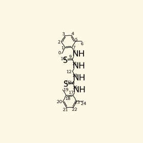 Cc1cccc(C)c1NC(=S)NCNC(=S)Nc1c(C)cccc1C